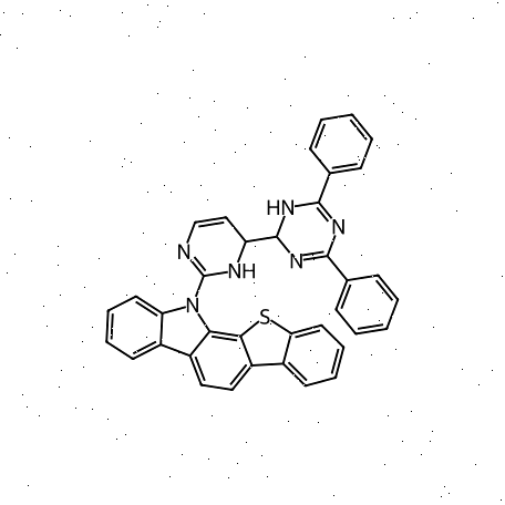 C1=CC(C2N=C(c3ccccc3)N=C(c3ccccc3)N2)NC(n2c3ccccc3c3ccc4c5ccccc5sc4c32)=N1